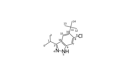 CC(C)c1n[nH]c2cc(Cl)c(C(C)(C)C)cc12